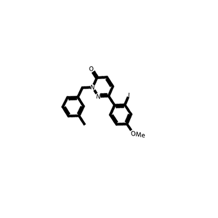 COc1ccc(-c2ccc(=O)n(Cc3cccc(C)c3)n2)c(I)c1